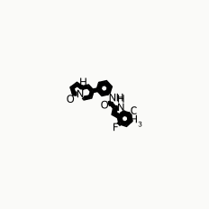 Cc1ccc(F)c2cc(C(=O)Nc3cccc(C4CCN5C(=O)CC[C@H]5C4)c3)[nH]c12